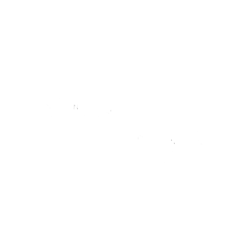 c1ccc(N(c2ccc3c(c2)oc2c3ccc3c2ccc2c4ccc(N(c5ccccc5)c5cccc6c5sc5ccccc56)cc4oc23)c2cccc3c2sc2ccccc23)cc1